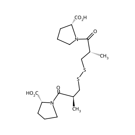 C[C@H](CSSC[C@@H](C)C(=O)N1CCC[C@@H]1C(=O)O)C(=O)N1CCC[C@@H]1C(=O)O